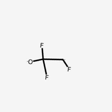 [O]C(F)(F)[CH]F